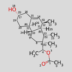 CC(=O)OC(C)[C@@]1(C)CC[C@H]2[C@@H]([C@H](C)C=C3C[C@@H](O)CC[C@@H]32)[C@@H]1C